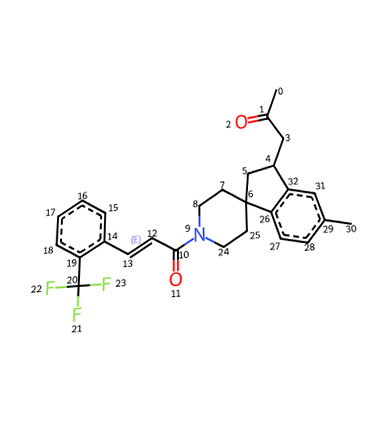 CC(=O)CC1CC2(CCN(C(=O)/C=C/c3ccccc3C(F)(F)F)CC2)c2ccc(C)cc21